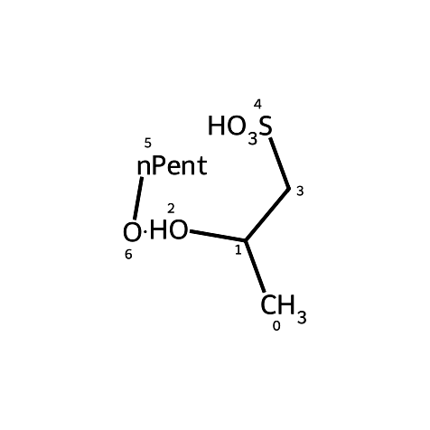 CC(O)CS(=O)(=O)O.CCCCC[O]